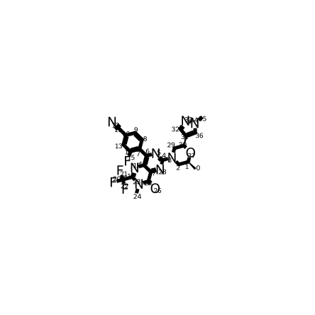 C[C@H]1CN(c2nc(-c3ccc(C#N)cc3F)c3nc(C(F)(F)F)n(C)c(=O)c3n2)C[C@@H](c2cnn(C)c2)O1